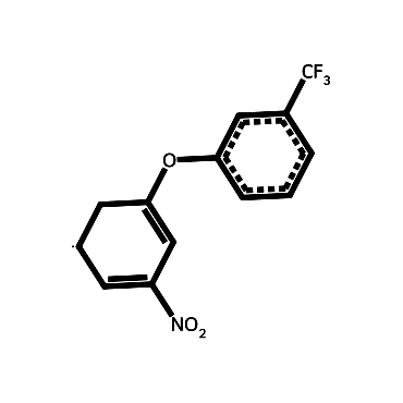 O=[N+]([O-])C1=C[CH]CC(Oc2cccc(C(F)(F)F)c2)=C1